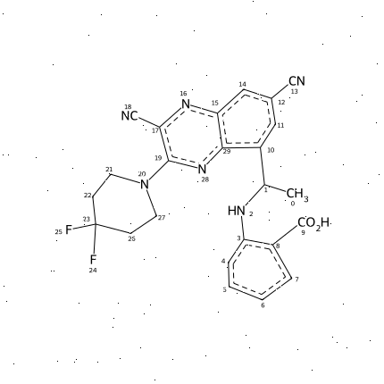 CC(Nc1ccccc1C(=O)O)c1cc(C#N)cc2nc(C#N)c(N3CCC(F)(F)CC3)nc12